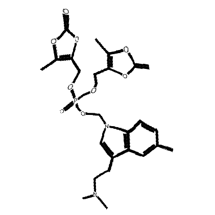 C=C1OC(C)=C(COP(=O)(OCc2oc(=O)oc2C)OCn2cc(CCN(C)C)c3cc(C)ccc32)O1